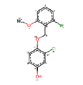 N#COc1cccc(Br)c1COc1ccc(O)cc1Cl